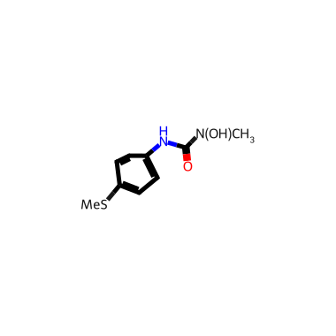 CSc1ccc(NC(=O)N(C)O)cc1